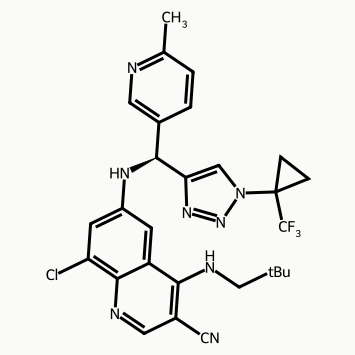 Cc1ccc([C@H](Nc2cc(Cl)c3ncc(C#N)c(NCC(C)(C)C)c3c2)c2cn(C3(C(F)(F)F)CC3)nn2)cn1